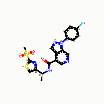 C[C@H](NC(=O)c1cncc2c1cnn2-c1ccc(F)cc1)c1csc(S(C)(=O)=O)n1